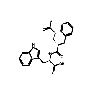 CC(=O)SC[C@H](Cc1ccccc1)C(=O)N[C@@H](Cc1c[nH]c2ccccc12)C(=O)O